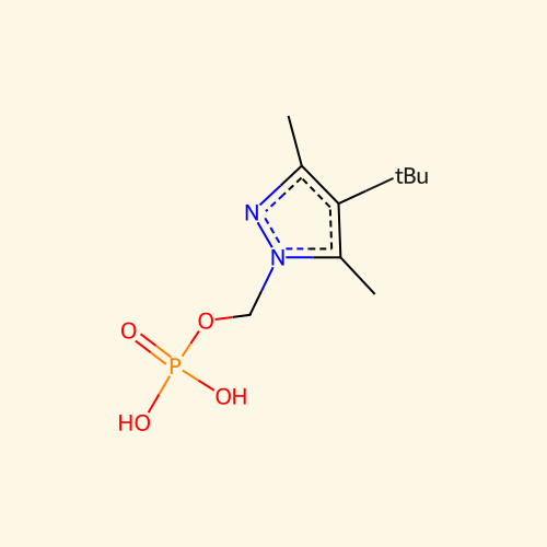 Cc1nn(COP(=O)(O)O)c(C)c1C(C)(C)C